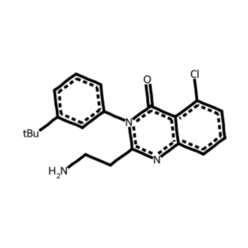 CC(C)(C)c1cccc(-n2c(CCN)nc3cccc(Cl)c3c2=O)c1